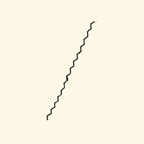 [CH2]CCCCCCCCCCCC=CCCCCCCCCCCCCCC[CH2]